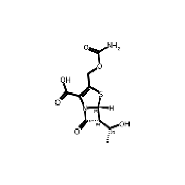 C[C@@H](O)[C@@H]1C(=O)N2C(C(=O)O)=C(COC(N)=O)S[C@H]12